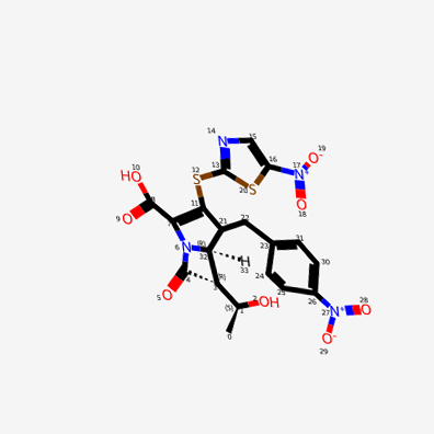 C[C@H](O)[C@@H]1C(=O)N2C(C(=O)O)=C(Sc3ncc([N+](=O)[O-])s3)C(Cc3ccc([N+](=O)[O-])cc3)[C@@H]12